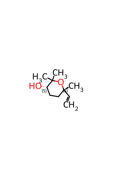 C=C[C@]1(C)CC[C@H](O)C(C)(C)O1